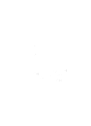 COP(C)(=O)OCC(=O)CC(C)CCCOC1CCCCO1